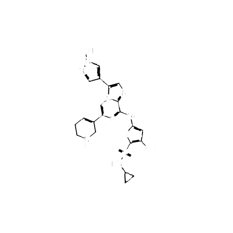 Cc1cc(Nc2nc(C3=CCCNC3)cn3c(-c4cnn(C)c4)cnc23)sc1S(=O)(=O)NC1CC1